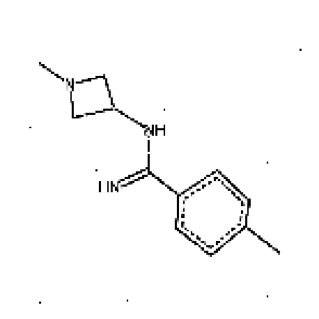 Cc1ccc(C(=N)NC2CN(C)C2)cc1